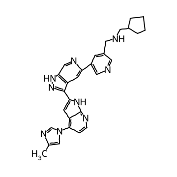 Cc1cn(-c2ccnc3[nH]c(-c4n[nH]c5cnc(-c6cncc(CNCC7CCCC7)c6)cc45)cc23)cn1